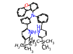 C[Si](C)(C)C1=CNC(c2cccc(N(c3cccc(C4=CC=C([Si](C)(C)C)CN4)c3)c3cccc4oc5ccccc5c34)c2)C=C1